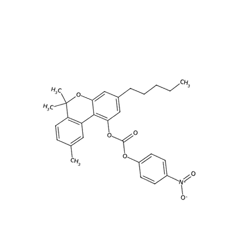 CCCCCc1cc(OC(=O)Oc2ccc([N+](=O)[O-])cc2)c2c(c1)OC(C)(C)c1ccc(C)cc1-2